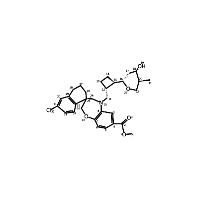 COC(=O)c1ccc2c(c1)N(C[C@@H]1CC[C@H]1[C@@H]1C[C@@H](O)[C@@H](C)CO1)C[C@@]1(CCCc3cc(Cl)ccc31)CO2